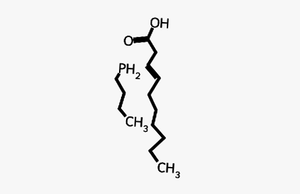 CCCCCCC=CCC(=O)O.CCCCP